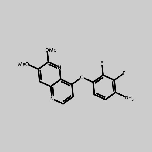 COc1cc2nccc(Oc3ccc(N)c(F)c3F)c2nc1OC